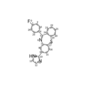 Fc1ccc(C2=Nc3cc(-c4ncc[nH]4)ccc3Sc3ccccc32)cc1